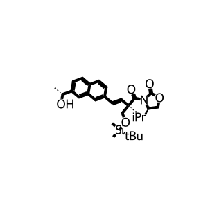 CC(C)[C@@H]1COC(=O)N1C(=O)[C@](C)(/C=C/c1ccc2ccc([C@@H](C)O)cc2c1)CO[Si](C)(C)C(C)(C)C